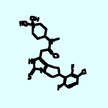 CN(C(=O)Cc1[nH]c(=S)n2c1CC(c1c(F)ccc(Cl)c1F)C2)C1CCS(O)(O)CC1